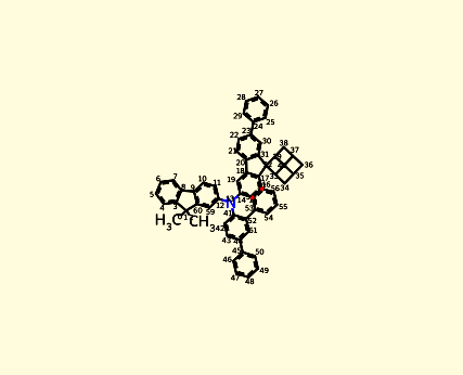 CC1(C)c2ccccc2-c2ccc(N(c3ccc4c(c3)-c3ccc(-c5ccccc5)cc3C43C4CC5CC6CC3C564)c3ccc(-c4ccccc4)cc3-c3ccccc3)cc21